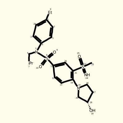 CCc1ccc(N(CC(C)C)S(=O)(=O)c2ccc(N3CC[C@H](O)C3)c(S(C)(=N)=O)c2)cc1